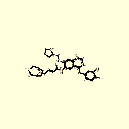 O=C(/C=C/CN1C2CCC1COC2)Nc1cc2c(Nc3ccc(F)c(Cl)c3)ncnc2cc1OC[C@H]1CCCO1